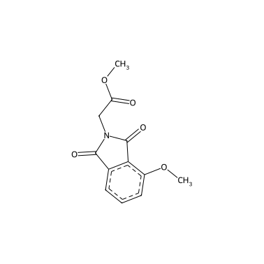 COC(=O)CN1C(=O)c2cccc(OC)c2C1=O